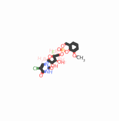 BC(B)(OP1(=O)OCc2cccc(OC)c2O1)[C@@]1(F)O[C@@](B)(n2cc(Cl)c(=O)[nH]c2=O)[C@H](O)[C@@H]1O